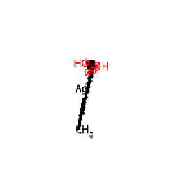 CCCCCCCCCCCCCCCCCCCCCC(=O)Oc1cc(O)ccc1O.[Ag]